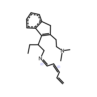 C=C/C=C\C=N/CC(CC)C1=C(CCN(C)C)Cc2ccccc21